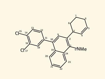 CNc1c(C2C=CCCC2)cc(-c2ccc(Cl)c(Cl)c2)c2ccccc12